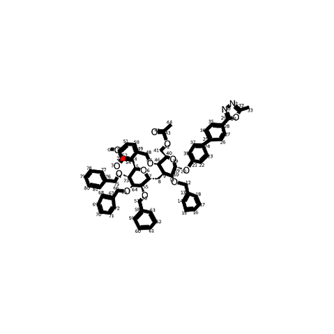 COC(=O)C[C@H]1O[C@H](C[C@@H]2[C@H](OCc3ccccc3)[C@@H](Oc3ccc(-c4ccc(-c5nnc(C)o5)cc4)cc3)O[C@H](COC(C)=O)[C@H]2OCc2ccccc2)[C@@H](OCc2ccccc2)[C@H](OCc2ccccc2)[C@@H]1OCc1ccccc1